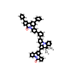 CC1(C)c2ccccc2-n2c3cc(-c4cccc(-c5ccc6c(c5)c5cc(-c7ccccc7)cc7c8cc(-c9ccccc9)ccc8c(=O)n6c75)c4)ccc3c3cc(-c4cc5c6ccccc6c(=O)n6c7ccccc7c(c4)c56)cc1c32